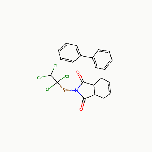 O=C1C2CC=CCC2C(=O)N1SC(Cl)(Cl)C(Cl)Cl.c1ccc(-c2ccccc2)cc1